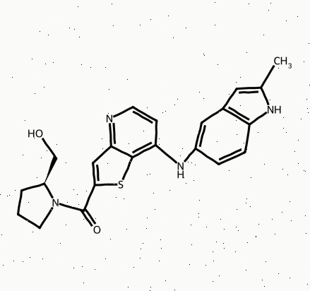 Cc1cc2cc(Nc3ccnc4cc(C(=O)N5CCC[C@H]5CO)sc34)ccc2[nH]1